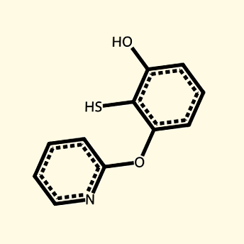 Oc1cccc(Oc2ccccn2)c1S